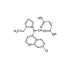 C=Cc1cccn1N(C)c1ccnc2cc(Cl)ccc12.O=C(O)/C=C\C(=O)O